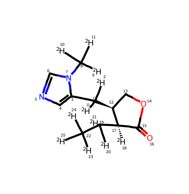 [2H]C([2H])(c1cncn1C([2H])([2H])[2H])[C@H]1COC(=O)[C@@]1([2H])C([2H])([2H])C([2H])([2H])[2H]